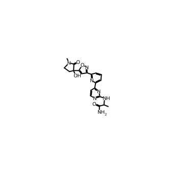 CC(Nc1nccc(-c2cccc(-c3cc(C4(O)CCN(C)C4=O)on3)n2)n1)C(N)=O